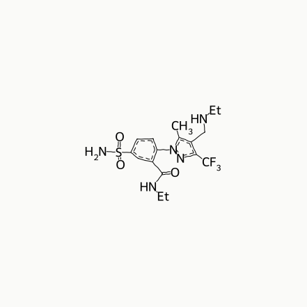 CCNCc1c(C(F)(F)F)nn(-c2ccc(S(N)(=O)=O)cc2C(=O)NCC)c1C